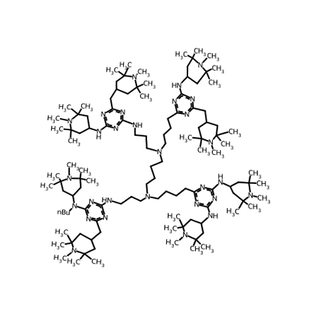 CCCCN(c1nc(CC2CC(C)(C)N(C)C(C)(C)C2)nc(NCCCN(CCCCc2nc(NC3CC(C)(C)N(C)C(C)(C)C3)nc(NC3CC(C)(C)N(C)C(C)(C)C3)n2)CCCCN(CCCCc2nc(CC3CC(C)(C)N(C)C(C)(C)C3)nc(NC3CC(C)(C)N(C)C(C)(C)C3)n2)CCCNc2nc(CC3CC(C)(C)N(C)C(C)(C)C3)nc(NC3CC(C)(C)N(C)C(C)(C)C3)n2)n1)C1CC(C)(C)N(C)C(C)(C)C1